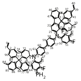 C=Cc1ccc(C(C2=CC(N(c3ccc(-c4ccc(N(c5ccc6c(c5)C(C5=CC(C)CC=C5C)(c5ccc(C=C)cc5)c5ccccc5-6)c5ccc(F)c(F)c5F)cc4)cc3)c3ccc(P)c(F)c3F)CC=C2C)(c2ccccc2)c2cc(C)ccc2C)cc1